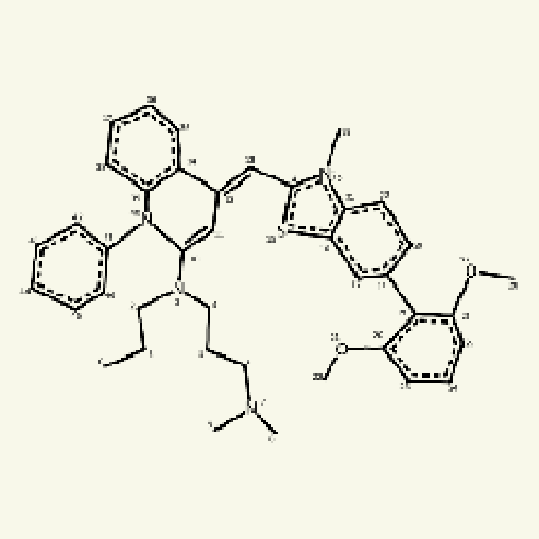 CCCN(CCCN(C)C)C1=CC(=Cc2sc3cc(-c4c(OC)cccc4OC)ccc3[n+]2C)c2ccccc2N1c1ccccc1